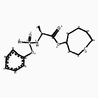 CC(C)P(=O)(N[C@@H](C)C(=O)OC1CCCCCCC1)Oc1ccccc1